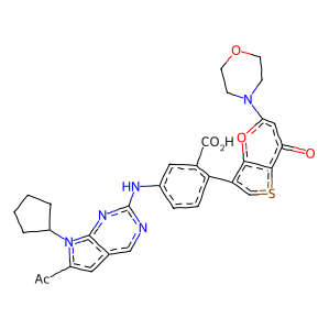 CC(=O)c1cc2cnc(Nc3ccc(-c4csc5c(=O)cc(N6CCOCC6)oc45)c(C(=O)O)c3)nc2n1C1CCCC1